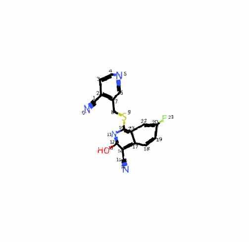 N#Cc1ccncc1CSc1nc(O)c(C#N)c2ccc(F)cc12